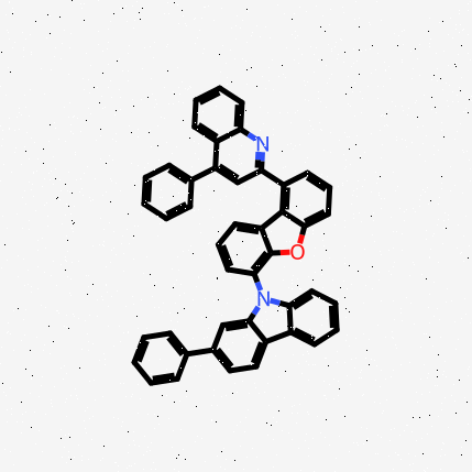 c1ccc(-c2ccc3c4ccccc4n(-c4cccc5c4oc4cccc(-c6cc(-c7ccccc7)c7ccccc7n6)c45)c3c2)cc1